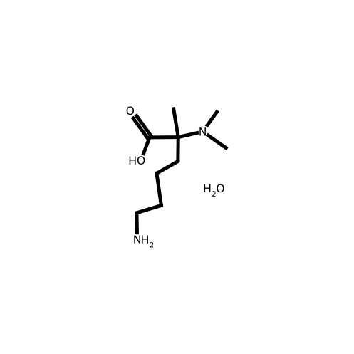 CN(C)C(C)(CCCCN)C(=O)O.O